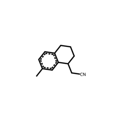 Cc1ccc2c(c1)C(CC#N)CCC2